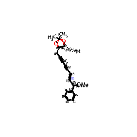 CCCCCCC[C@H]1OC(C)(C)O[C@@H]1CC#CC#C/C=C/C(OC)c1ccccc1